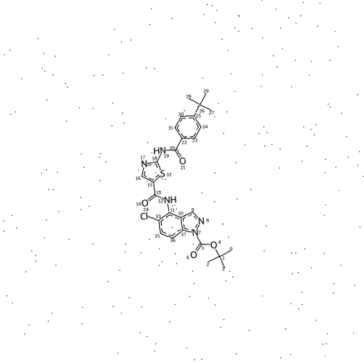 CC(C)(C)OC(=O)n1ncc2c(NC(=O)c3cnc(NC(=O)c4ccc(C(C)(C)C)cc4)s3)c(Cl)ccc21